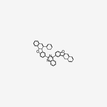 C1=CCCC(C2=Cc3ccccc3C3Oc4ccc(-c5nc(-c6ccc7oc8c(c7c6)CC6C=CC=CC6=C8)c6ccccc6n5)cc4C23)=C1